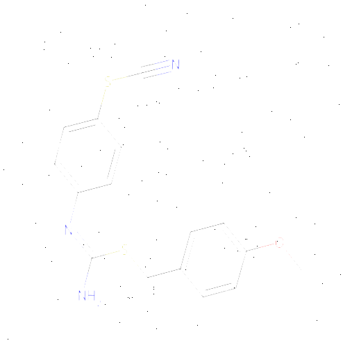 COc1ccc(CS/C(N)=N\c2ccc(SC#N)cc2)cc1